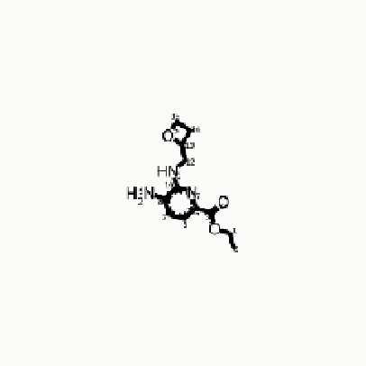 CCOC(=O)c1ccc(N)c(NCC2CCO2)n1